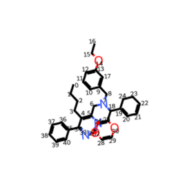 CCCCc1c(CN(Cc2cccc(OCC)c2)C(C2=CC=CCC2)C2=COC=CO2)ncnc1-c1ccccc1